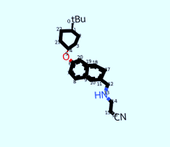 CC(C)(C)[C@H]1CC[C@H](Oc2ccc3cc(CNCCC#N)ccc3c2)CC1